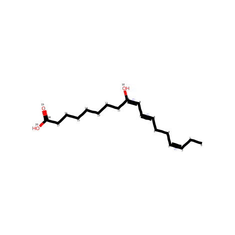 CC/C=C\CC/C=C/C=C(/O)CCCCCCCC(=O)O